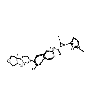 C[C@H]1[C@@H](C(=O)Nc2cc3cc(N4CCN([C@]5(C)COC[C@@H]5O)CC4)c(Cl)cc3cn2)[C@@H]1c1ccn(C)n1